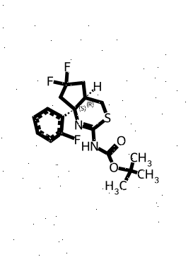 CC(C)(C)OC(=O)NC1=N[C@@]2(c3ccccc3F)CC(F)(F)C[C@H]2CS1